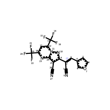 N#C/C(=C\c1ccoc1)c1nn2c(C(F)(F)F)cc(C(F)(F)F)nc2c1C#N